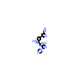 CN(C)Cc1cncc(-c2ccc3[nH]nc(-c4nc5c(N6CCN(C)CC6)cncc5[nH]4)c3c2)c1